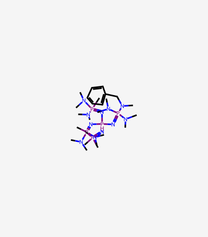 CN(C)P(C)(=N[PH](N=P(C)(C)C)(N=P(C)(N(C)C)N(C)C)N=P(N(C)C)(N(C)C)N(C)Cc1ccccc1)N(C)C